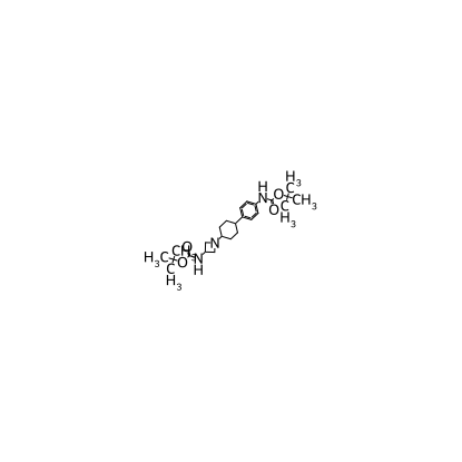 CC(C)(C)OC(=O)Nc1ccc(C2CCC(N3CC(NC(=O)OC(C)(C)C)C3)CC2)cc1